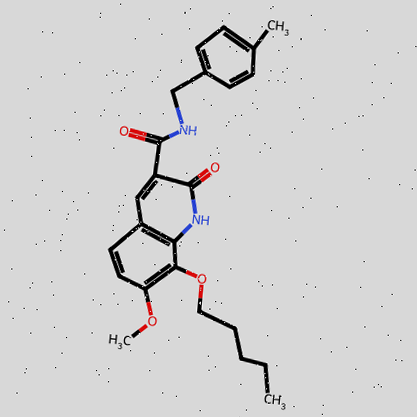 CCCCCOc1c(OC)ccc2cc(C(=O)NCc3ccc(C)cc3)c(=O)[nH]c12